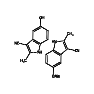 COc1ccc2[nH]c(C)c(C#N)c2c1.Cc1[nH]c2ccc(O)cc2c1C#N